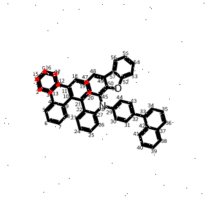 c1ccc(-c2ccccc2-c2c(-c3ccccc3)cccc2-c2ccccc2N(c2ccc(-c3cccc4ccccc34)cc2)c2cccc3c2oc2ccccc23)cc1